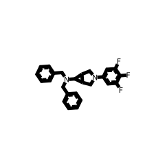 Fc1cc(N2CC3C(C2)C3N(Cc2ccccc2)Cc2ccccc2)cc(F)c1F